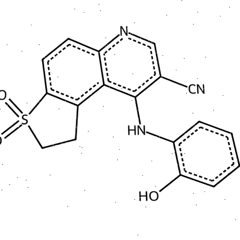 N#Cc1cnc2ccc3c(c2c1Nc1ccccc1O)CCS3(=O)=O